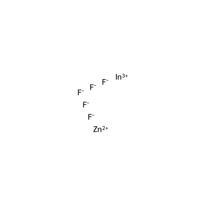 [F-].[F-].[F-].[F-].[F-].[In+3].[Zn+2]